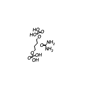 NC(N)=O.O=P(O)(O)OCCCCOP(=O)(O)O